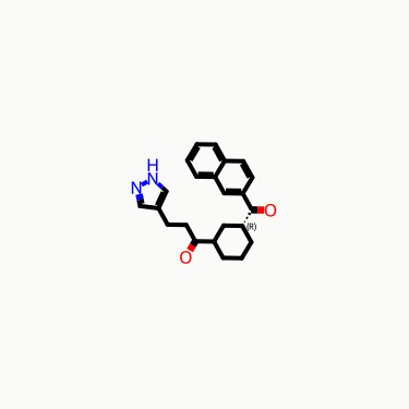 O=C(CCc1cn[nH]c1)C1CCC[C@@H](C(=O)c2ccc3ccccc3c2)C1